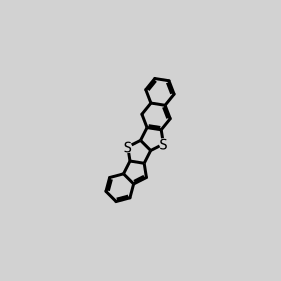 C1=CC2=CC3=C(CC2C=C1)C1SC2C4C=CC=CC4=CC2C1S3